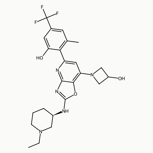 CCN1CCC[C@@H](Nc2nc3nc(-c4c(C)cc(C(F)(F)F)cc4O)cc(N4CC(O)C4)c3o2)C1